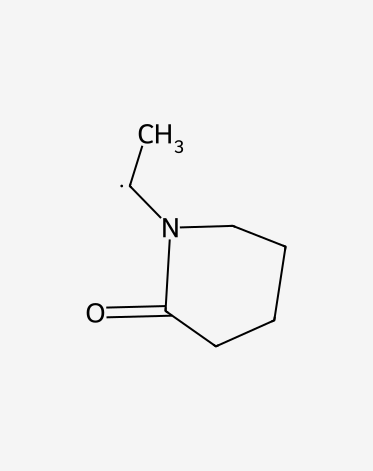 C[CH]N1CCCCC1=O